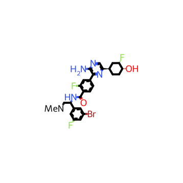 CNCC(NC(=O)c1ccc(-c2nc([C@@H]3CC[C@@H](O)[C@@H](F)C3)cnc2N)cc1F)c1cc(F)cc(Br)c1